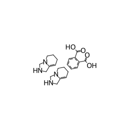 C1=C2CNCN2CCC1.C1=C2CNCN2CCC1.O=C(O)c1ccccc1C(=O)O